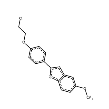 COc1ccc2oc(-c3ccc(OCCCl)cc3)cc2c1